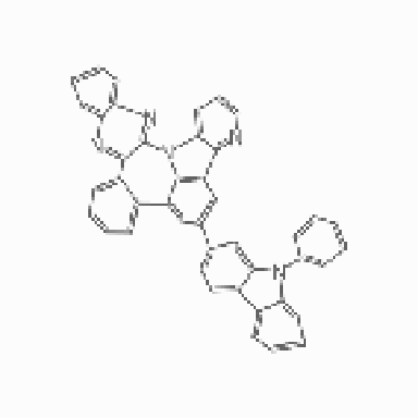 c1ccc(-n2c3ccccc3c3ccc(-c4cc5c6c(c4)c4ncccc4n6-c4nc6ccccc6nc4-c4ccccc4-5)cc32)cc1